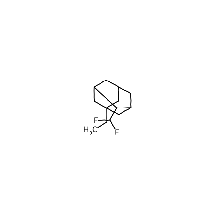 CCC12CC3CC(C1)C(C(F)F)C(C3)C2